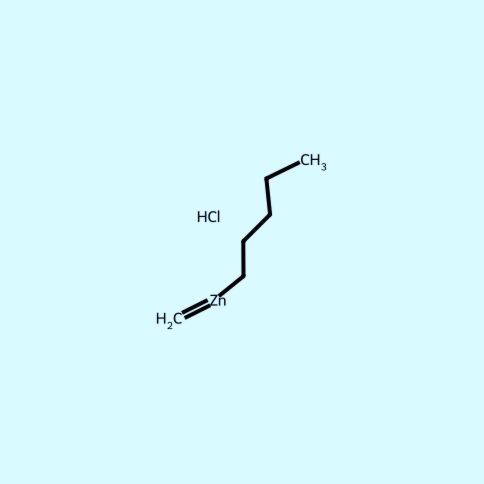 Cl.[CH2]=[Zn][CH2]CCCC